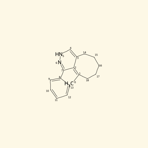 C/C1=C2/C(=CNN=C2c2ccccc2)CCCCC1